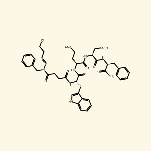 CSCC[C@H](NC(=O)[C@H](Cc1c[nH]c2ccccc12)NC(=O)CCC(=O)N(Cc1ccccc1)N=NCCCl)C(=O)N[C@@H](CC(=O)O)C(=O)N[C@@H](Cc1ccccc1)C(N)=O